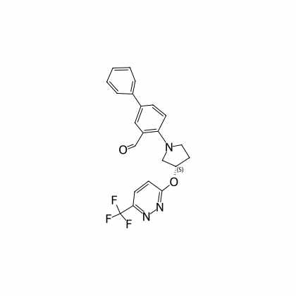 O=Cc1cc(-c2ccccc2)ccc1N1CC[C@H](Oc2ccc(C(F)(F)F)nn2)C1